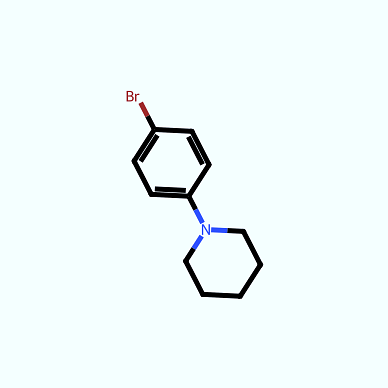 Brc1ccc(N2CCCCC2)cc1